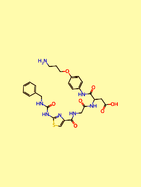 NCCCOc1ccc(NC(=O)C(CC(=O)O)NC(=O)CNC(=O)c2csc(NC(=O)NCc3ccccc3)n2)cc1